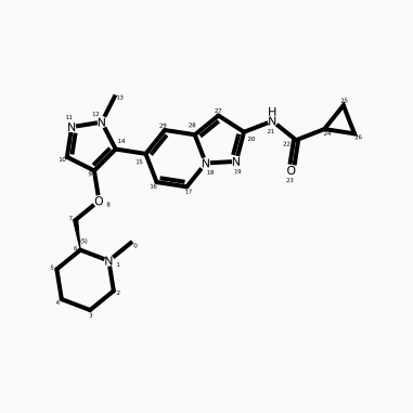 CN1CCCC[C@H]1COc1cnn(C)c1-c1ccn2nc(NC(=O)C3CC3)cc2c1